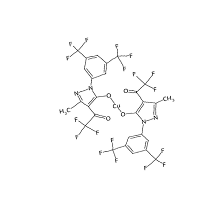 Cc1nn(-c2cc(C(F)(F)F)cc(C(F)(F)F)c2)c([O][Cu][O]c2c(C(=O)C(F)(F)F)c(C)nn2-c2cc(C(F)(F)F)cc(C(F)(F)F)c2)c1C(=O)C(F)(F)F